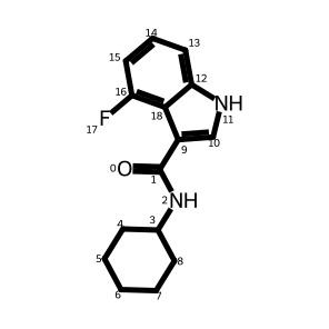 O=C(NC1CCCCC1)c1c[nH]c2cccc(F)c12